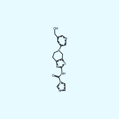 O=C(Nc1nc2c(s1)CN(c1cncc(CO)c1)CC2)n1ccnc1